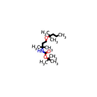 CCCC(C)(C)OCCC(C)(C)NC(=O)OC(C)(C)C